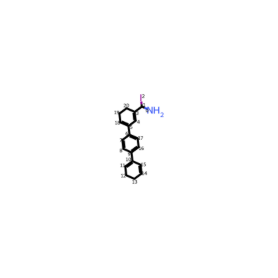 NC(I)C1=CC(c2ccc(C3=CCCC=C3)cc2)=CCC1